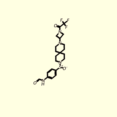 O=CNc1ccc([S+]([O-])N2CCC3(CCN(C4CN(C(=O)C(F)(F)F)C4)CC3)CC2)cc1